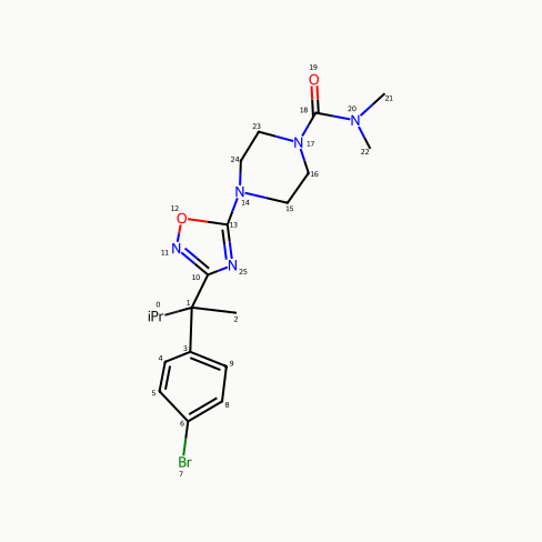 CC(C)C(C)(c1ccc(Br)cc1)c1noc(N2CCN(C(=O)N(C)C)CC2)n1